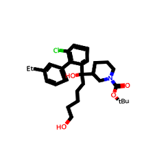 CCc1cccc(-c2c(Cl)cccc2C(O)(CCCCCO)C2CCCN(C(=O)OC(C)(C)C)C2)c1